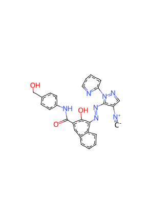 [C-]#[N+]c1cnn(-c2ccccn2)c1/N=N/c1c(O)c(C(=O)Nc2ccc(CO)cc2)cc2ccccc12